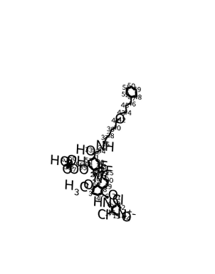 COc1ccc(C(=O)Nc2c(Cl)c[n+]([O-])cc2Cl)c2ccc(C(F)(F)F)[n+](Cc3ccc(C(O)CNCCCCCCOCCCCc4ccccc4)cc3OCOP(=O)(O)O)c12